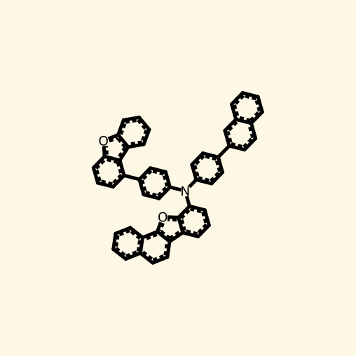 c1ccc2cc(-c3ccc(N(c4ccc(-c5cccc6oc7ccccc7c56)cc4)c4cccc5c4oc4c6ccccc6ccc54)cc3)ccc2c1